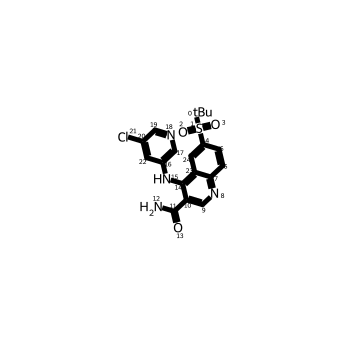 CC(C)(C)S(=O)(=O)c1ccc2ncc(C(N)=O)c(Nc3cncc(Cl)c3)c2c1